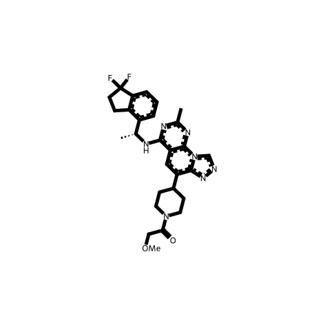 COCC(=O)N1CCC(c2cc3c(N[C@H](C)c4cccc5c4CCC5(F)F)nc(C)nc3n3cnnc23)CC1